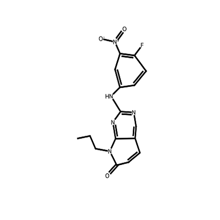 CCCn1c(=O)ccc2cnc(Nc3ccc(F)c([N+](=O)[O-])c3)nc21